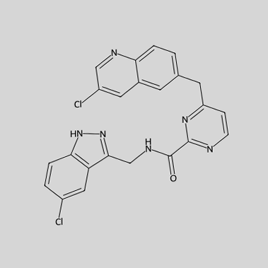 O=C(NCc1n[nH]c2ccc(Cl)cc12)c1nccc(Cc2ccc3ncc(Cl)cc3c2)n1